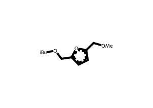 CCC(C)OCc1ccc(COC)o1